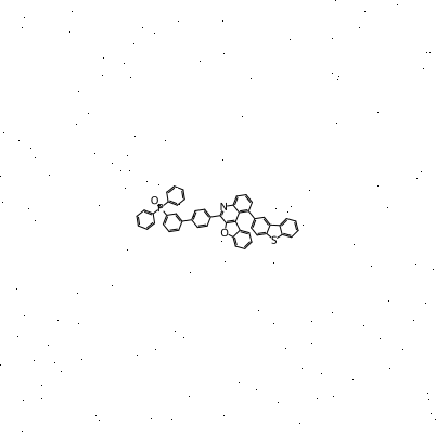 O=P(c1ccccc1)(c1ccccc1)c1cccc(-c2ccc(-c3nc4cccc(-c5ccc6sc7ccccc7c6c5)c4c4c3oc3ccccc34)cc2)c1